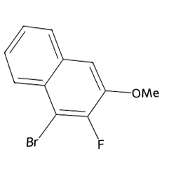 COc1cc2ccccc2c(Br)c1F